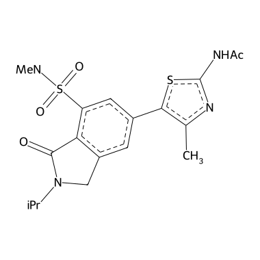 CNS(=O)(=O)c1cc(-c2sc(NC(C)=O)nc2C)cc2c1C(=O)N(C(C)C)C2